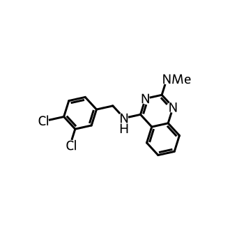 CNc1nc(NCc2ccc(Cl)c(Cl)c2)c2ccccc2n1